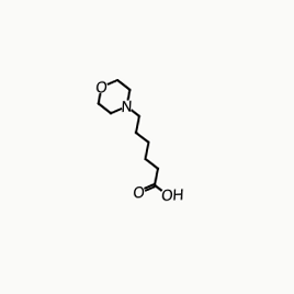 O=C(O)CCCCCN1CCOCC1